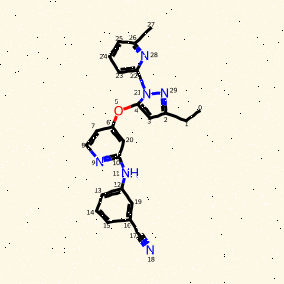 CCc1cc(Oc2ccnc(Nc3cccc(C#N)c3)c2)n(-c2cccc(C)n2)n1